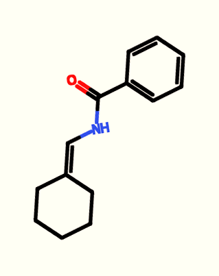 O=C(NC=C1CCCCC1)c1ccccc1